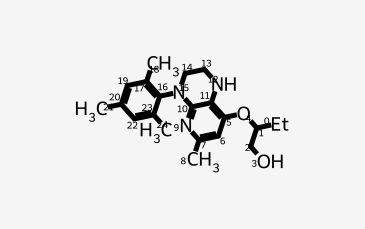 CCC(CO)Oc1cc(C)nc2c1NCCN2c1c(C)cc(C)cc1C